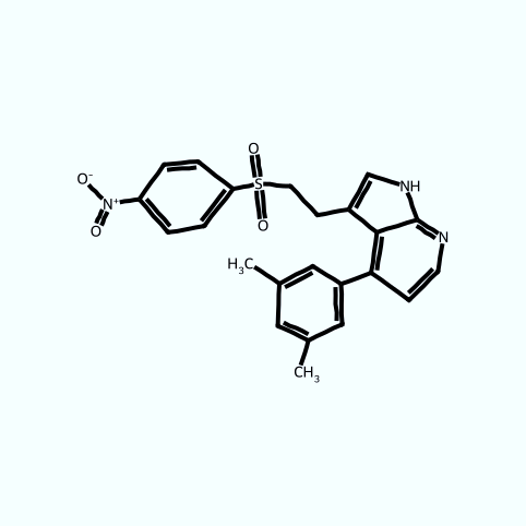 Cc1cc(C)cc(-c2ccnc3[nH]cc(CCS(=O)(=O)c4ccc([N+](=O)[O-])cc4)c23)c1